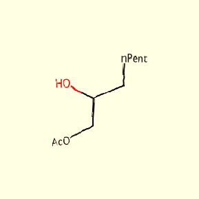 CCCCCCC(O)COC(C)=O